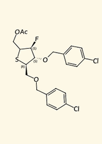 CC(=O)OCC1S[C@H](COCc2ccc(Cl)cc2)[C@@H](OCc2ccc(Cl)cc2)[C@@H]1F